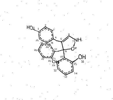 Oc1ccc(C2=CNOC2(c2ccccc2O)c2ccccc2O)cc1